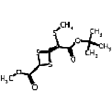 COC(=O)C1SC(=C(SC)C(=O)OC(C)(C)C)S1